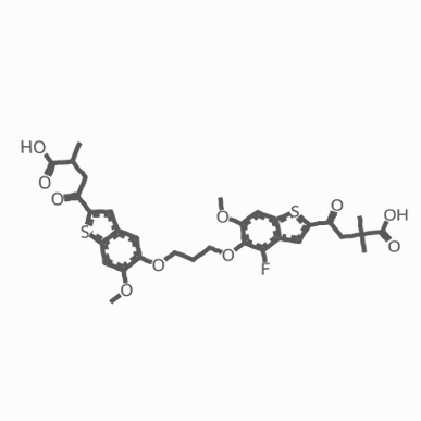 COc1cc2sc(C(=O)CC(C)C(=O)O)cc2cc1OCCCOc1c(OC)cc2sc(C(=O)CC(C)(C)C(=O)O)cc2c1F